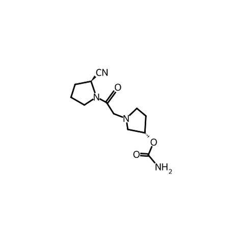 N#C[C@@H]1CCCN1C(=O)CN1CC[C@H](OC(N)=O)C1